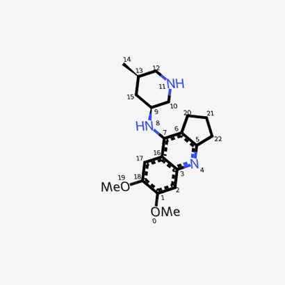 COc1cc2nc3c(c(N[C@@H]4CNC[C@H](C)C4)c2cc1OC)CCC3